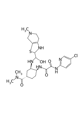 CN1CCC2=C(C1)SC(C(O)N[C@@H]1C[C@@H](C(=O)N(C)C)CC[C@@H]1NC(=O)C(=O)Nc1ccc(Cl)cn1)N2